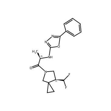 C[C@@H](Nc1nnc(-c2ccccc2)o1)C(=O)N1C[C@@H](C(F)F)C2(CC2)C1